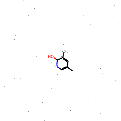 CC1=CNC(O)C(C(F)(F)F)=C1